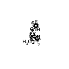 CC(C)N1CC2(CCN(C(=O)Nc3ccc(F)c(F)c3)CC2)C1c1cccnc1